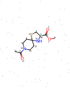 COC(=O)[C@@H]1CSC2(CCN(C(C)=O)CC2)N1